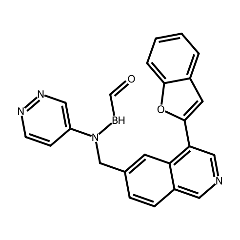 O=CBN(Cc1ccc2cncc(-c3cc4ccccc4o3)c2c1)c1ccnnc1